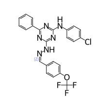 FC(F)(F)Oc1ccc(/C=N\Nc2nc(Nc3ccc(Cl)cc3)nc(-c3ccccc3)n2)cc1